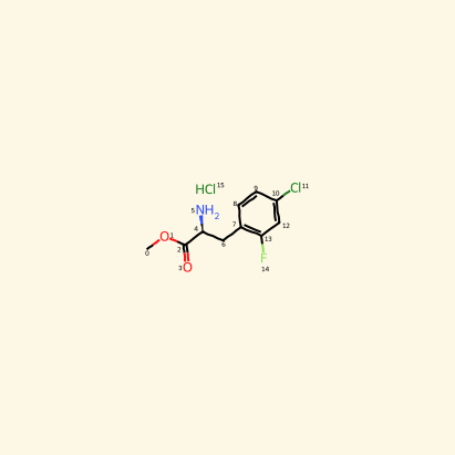 COC(=O)[C@@H](N)Cc1ccc(Cl)cc1F.Cl